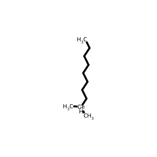 CCCCCCC[CH2][GeH]([CH3])[CH3]